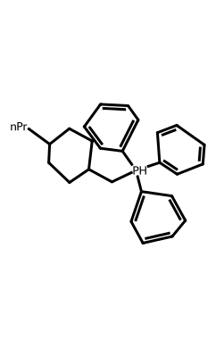 CCCC1CCC(C[PH](c2ccccc2)(c2ccccc2)c2ccccc2)CC1